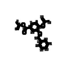 C=C(C)OC(=O)c1ccc(OC(=C)C)c(OCc2ccccc2)c1